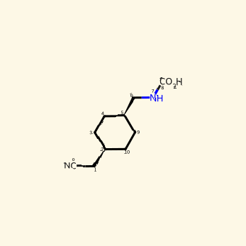 N#CC[C@H]1CC[C@@H](CNC(=O)O)CC1